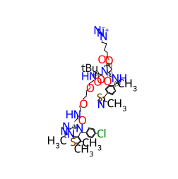 Cc1ncsc1-c1ccc([C@H](C)NC(=O)[C@@H]2C[C@@H](OC(=O)CCCCN=[N+]=[N-])CN2C(=O)[C@@H](NC(=O)COCCCOCCNC(=O)C[C@@H]2N=C(c3ccc(Cl)cc3)c3c(sc(C)c3C)-n3c(C)nnc32)C(C)(C)C)cc1